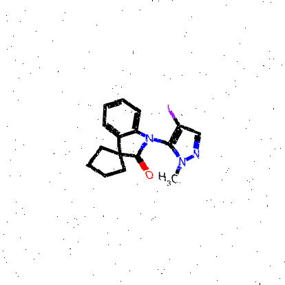 Cn1ncc(I)c1N1C(=O)C2(CCCC2)c2ccccc21